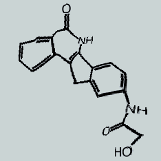 O=C(CO)Nc1ccc2c(c1)Cc1c-2[nH]c(=O)c2ccccc12